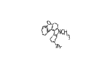 CC(C)c1ccc2c3c4c(ccc3n(C)c2c1)oc1ccccc14